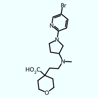 CN(CCC1(C(=O)O)CCOCC1)C1CCN(c2ccc(Br)cn2)C1